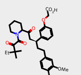 CCC(C)(C)C(=O)C(=O)N1CCCCC1C(=O)C[C@H](CCc1ccc(OC)c(OC)c1)c1cccc(OCC(=O)O)c1